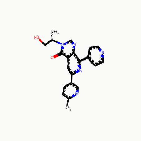 C[C@@H](CO)n1cnc2c(-c3ccncc3)nc(-c3ccc(C(F)(F)F)nc3)cc2c1=O